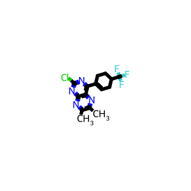 Cc1nc2nc(Cl)nc(C3=CCC(C(F)(F)F)CC3)c2nc1C